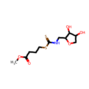 COC(=O)CCCSC(=S)NCC1OCC(O)C1O